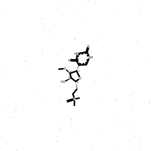 C=P(C)(C)CC[C@H]1O[C@@H](c2c[nH]c(=O)[nH]c2=O)[C@H](OC)[C@@H]1O